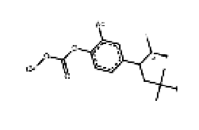 CC(=O)c1cc(C(CC(C)(C)I)[C@H](C)I)ccc1OC(=O)OC(C)(C)C